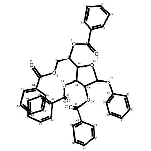 O=C(OC[C@@H](OC(=O)c1ccccc1)C1OC(Sc2ccccc2)C(OC(=O)c2ccccc2)C1OC(=O)c1ccccc1)c1ccccc1